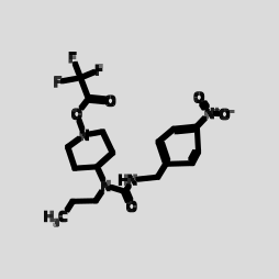 CCCN(C(=O)NCc1ccc([N+](=O)[O-])cc1)C1CCN(OC(=O)C(F)(F)F)CC1